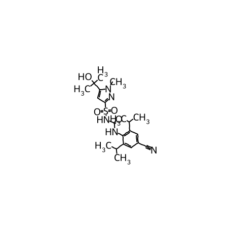 CC(C)c1cc(C#N)cc(C(C)C)c1NC(=O)NS(=O)(=O)c1cc(C(C)(C)O)n(C)n1